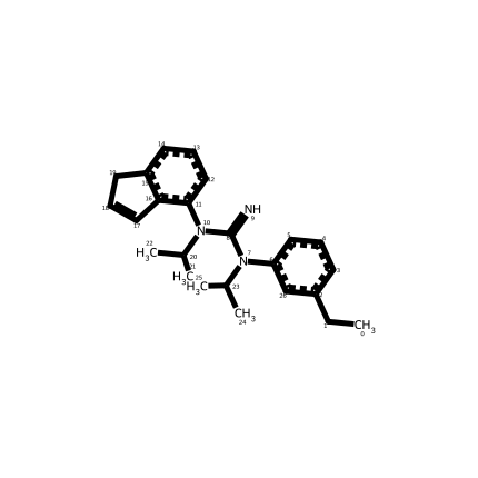 CCc1cccc(N(C(=N)N(c2cccc3c2C=CC3)C(C)C)C(C)C)c1